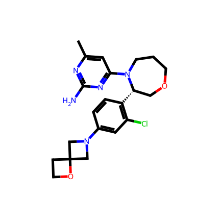 Cc1cc(N2CCCOC[C@@H]2c2ccc(N3CC4(CCO4)C3)cc2Cl)nc(N)n1